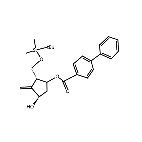 C=C1[C@H](O)CC(OC(=O)c2ccc(-c3ccccc3)cc2)[C@H]1CO[Si](C)(C)C(C)(C)C